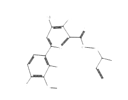 C=CC(C)ONC(=O)c1nc(-c2ccc(Cl)c(OC)c2F)cc(N)c1Cl